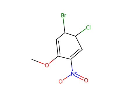 COC1=CC(Br)C(Cl)C=C1[N+](=O)[O-]